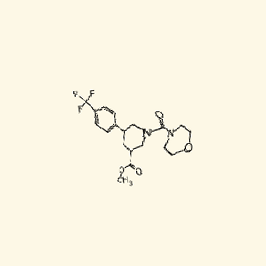 COC(=O)C1CC(c2ccc(C(F)(F)F)cc2)CN(C(=O)N2CCOCC2)C1